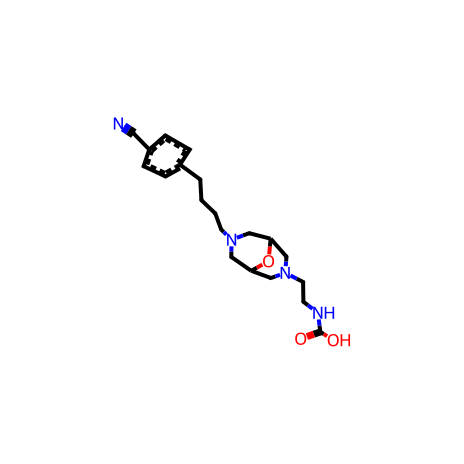 N#Cc1ccc(CCCCN2CC3CN(CCNC(=O)O)CC(C2)O3)cc1